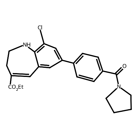 CCOC(=O)C1=Cc2cc(-c3ccc(C(=O)N4CCCC4)cc3)cc(Cl)c2NCC1